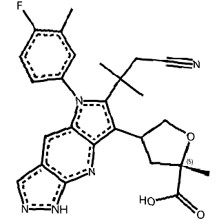 Cc1cc(-n2c(C(C)(C)CC#N)c(C3CO[C@](C)(C(=O)O)C3)c3nc4[nH]ncc4cc32)ccc1F